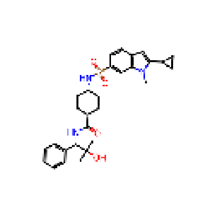 Cn1c(C2CC2)cc2ccc(S(=O)(=O)N[C@H]3CC[C@H](C(=O)N[C@@H](c4ccccc4)C(C)(C)O)CC3)cc21